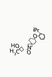 CC(C)c1ccccc1OC1CCC2(CC1)CN(C(=O)[C@H]1C[C@@](C)(O)C1)C2